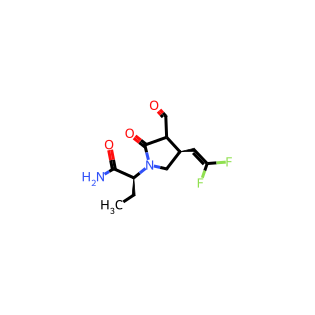 CC[C@@H](C(N)=O)N1C[C@H](C=C(F)F)C(C=O)C1=O